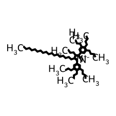 CCCCCCCCCCCCCCCCCCCC1=C(c2cc(CCCC)c(CCCC)c(CCCC)c2)[N+](=[N-])C(c2cc(CCCC)c(CCCC)c(CCCC)c2)=C1CCCC